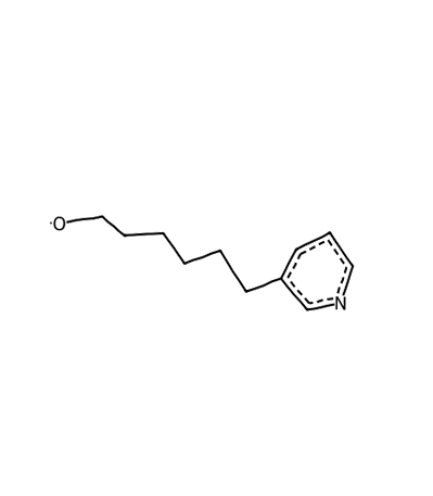 [O]CCCCCCc1cccnc1